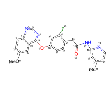 COc1ccc2ncnc(Oc3ccc(CC(=O)Nc4cc(C(C)(C)C)ccn4)c(F)c3)c2c1